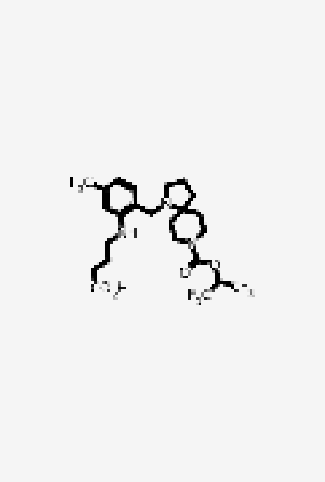 O=C(O)CCCNc1cc(C(F)(F)F)ccc1CN1CCCC12CCN(C(=O)OC(C(F)(F)F)C(F)(F)F)CC2